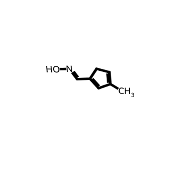 CC1=CCC(/C=N/O)=C1